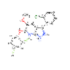 COc1cc2c(-c3ccccc3Cl)n[nH]c2nc1Oc1ccc(F)cc1F